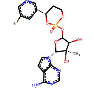 C[C@@]1(O)[C@H](O)C(OP2(=O)OCC[C@@H](c3cncc(Br)c3)O2)O[C@H]1n1ccc2c(N)ncnc21